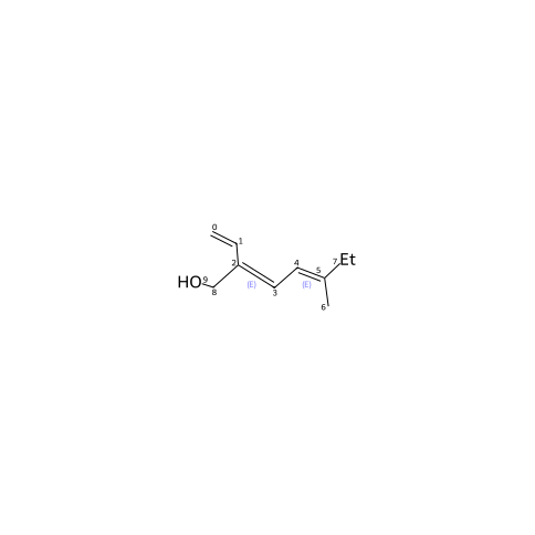 C=C/C(=C\C=C(/C)CC)CO